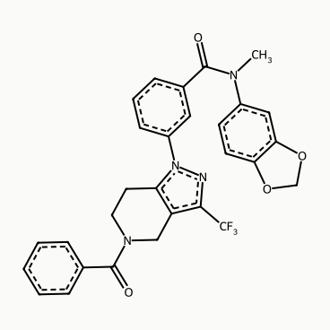 CN(C(=O)c1cccc(-n2nc(C(F)(F)F)c3c2CCN(C(=O)c2ccccc2)C3)c1)c1ccc2c(c1)OCO2